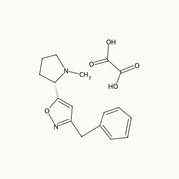 CN1CCC[C@H]1c1cc(Cc2ccccc2)no1.O=C(O)C(=O)O